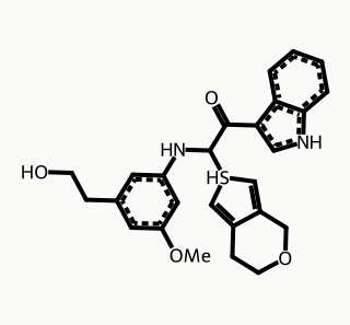 COc1cc(CCO)cc(NC(C(=O)c2c[nH]c3ccccc23)[SH]2C=C3CCOCC3=C2)c1